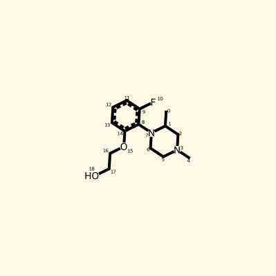 CC1CN(C)CCN1c1c(F)cccc1OCCO